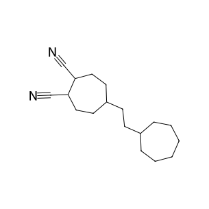 N#CC1CCC(CCC2CCCCCC2)CCC1C#N